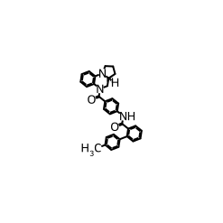 Cc1ccc(-c2ccccc2C(=O)Nc2ccc(C(=O)N3C[C@H]4CCCN4c4ccccc43)cc2)cc1